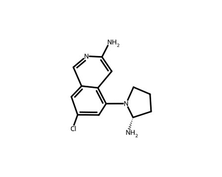 Nc1cc2c(N3CCC[C@@H]3N)cc(Cl)cc2cn1